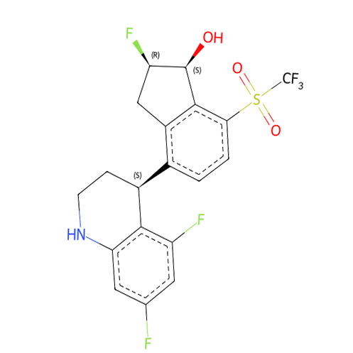 O=S(=O)(c1ccc([C@@H]2CCNc3cc(F)cc(F)c32)c2c1[C@H](O)[C@H](F)C2)C(F)(F)F